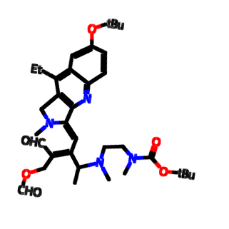 CCc1c2c(nc3ccc(OC(C)(C)C)cc13)/C(=C/C(=C(\C=O)COC=O)C(C)N(C)CCN(C)C(=O)OC(C)(C)C)N(C)C2